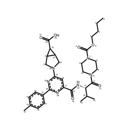 CCCCOC(=O)N1CCN(C(=O)[C@@H](NC(=O)c2cc(N3CC4C(C3)C4C(=O)O)nc(-c3ccc(C)cc3)n2)C(C)C)CC1